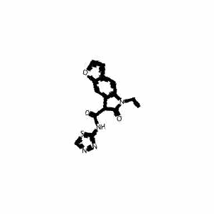 CCN1C(=O)C(C(=O)Nc2nncs2)c2cc3occc3cc21